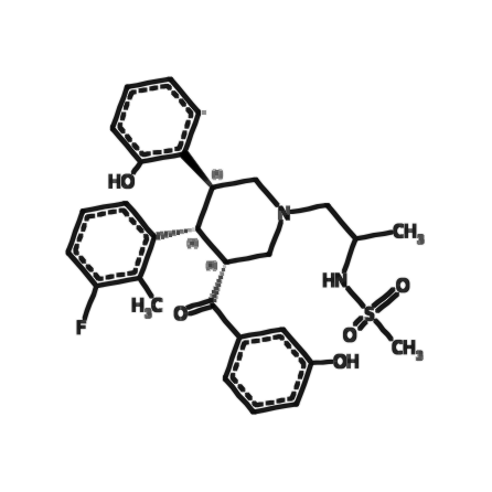 Cc1c(F)cccc1[C@H]1[C@@H](C(=O)c2cccc(O)c2)CN(CC(C)NS(C)(=O)=O)C[C@@H]1c1[c]cccc1O